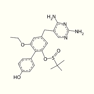 CCOc1cc(Cc2cnc(N)nc2N)cc(OS(=O)C(C)(C)C)c1-c1ccc(O)cc1